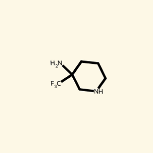 NC1(C(F)(F)F)CCCNC1